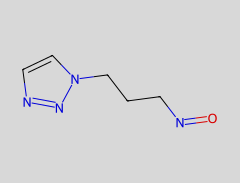 O=NCCCn1ccnn1